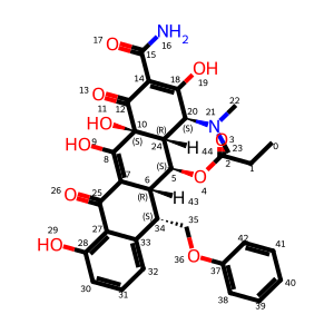 CCC(=O)O[C@H]1[C@H]2C(=C(O)[C@]3(O)C(=O)C(C(N)=O)=C(O)[C@@H](N(C)C)[C@H]13)C(=O)c1c(O)cccc1[C@H]2COc1ccccc1